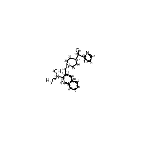 CN(C)c1nc2ccccc2cc1CN1CCC(C(=O)c2ncco2)CC1